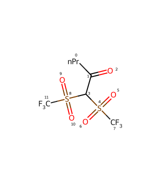 CCCC(=O)C(S(=O)(=O)C(F)(F)F)S(=O)(=O)C(F)(F)F